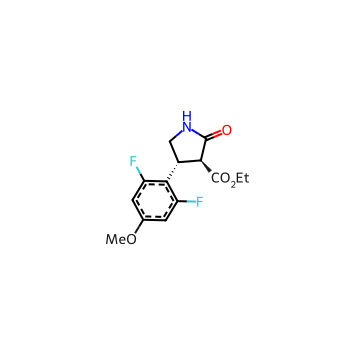 CCOC(=O)[C@@H]1C(=O)NC[C@H]1c1c(F)cc(OC)cc1F